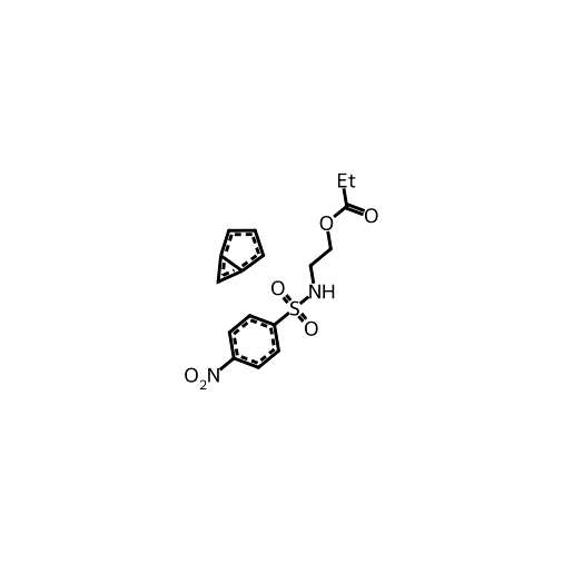 CCC(=O)OCCNS(=O)(=O)c1ccc([N+](=O)[O-])cc1.c1cc2cc-2c1